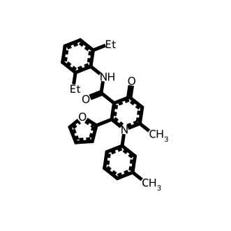 CCc1cccc(CC)c1NC(=O)c1c(-c2ccco2)n(-c2cccc(C)c2)c(C)cc1=O